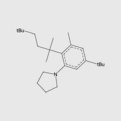 Cc1cc(C(C)(C)C)cc(N2CCCC2)c1C(C)(C)CCC(C)(C)C